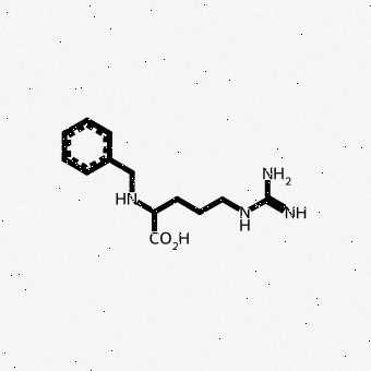 N=C(N)NCCCC(NCc1ccccc1)C(=O)O